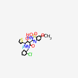 COc1ccc2c(c1)S(=O)(=O)NC(c1c(O)c(-c3cccs3)nn(Cc3c(F)cccc3Cl)c1=O)=N2